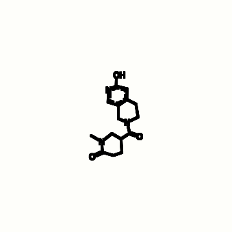 CN1CC(C(=O)N2CCc3cc(O)ncc3C2)CCC1=O